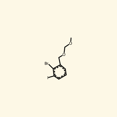 COCOCc1cccc(I)c1Br